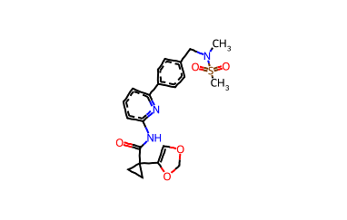 CN(Cc1ccc(-c2cccc(NC(=O)C3(C4=COCO4)CC3)n2)cc1)S(C)(=O)=O